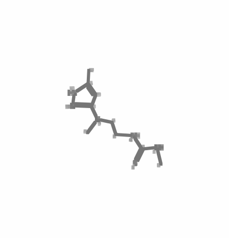 CNC(=S)NCCN(C)c1cc(C)[nH]n1